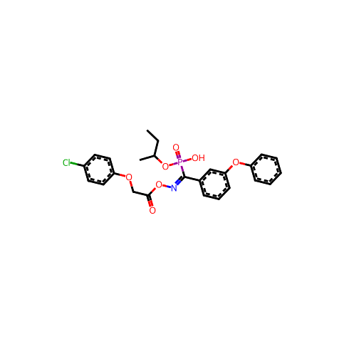 CCC(C)OP(=O)(O)C(=NOC(=O)COc1ccc(Cl)cc1)c1cccc(Oc2ccccc2)c1